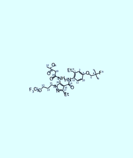 CCc1cc(OCC(C)(C)F)ccc1NC(=O)c1c(CC)nn(CCCOC(F)(F)F)c1NC(=O)CS(C)(=O)=O